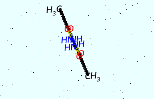 CCCCCCCCCCCCCCCCOC(=O)CCSCCCC(=N)NCCCNC(=N)CCCSCCC(=O)OCCCCCCCCCCCCCCCC